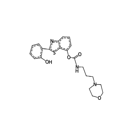 O=C(NCCCN1CCOCC1)Oc1cccc2nc(-c3ccccc3O)sc12